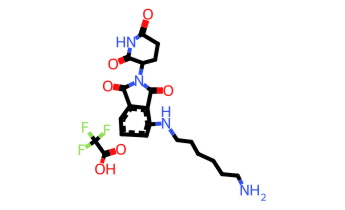 NCCCCCCNc1cccc2c1C(=O)N(C1CCC(=O)NC1=O)C2=O.O=C(O)C(F)(F)F